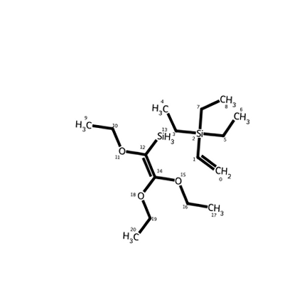 C=C[Si](CC)(CC)CC.CCOC([SiH3])=C(OCC)OCC